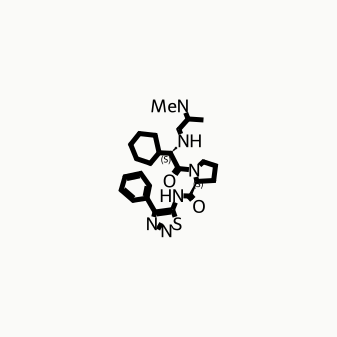 CNC(C)CN[C@H](C(=O)N1CCC[C@H]1C(=O)Nc1snnc1-c1ccccc1)C1CCCCC1